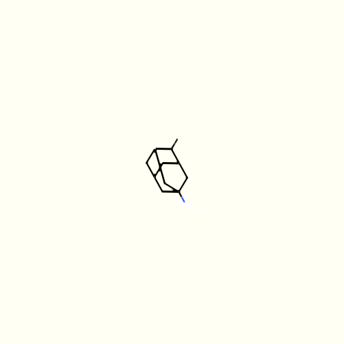 CC(=O)C1C2CC3CC1CC(N)(C3)C2